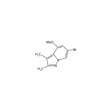 COc1cc(Br)cn2nc(C)c(C)c12